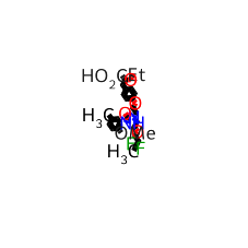 CCOC(Cc1ccc(OCCN(CCOCCC(C)(F)F)C(=O)Nc2cc(C)ccc2OC)cc1)C(=O)O